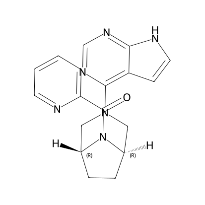 O=C(c1ccccn1)N1[C@@H]2CC[C@@H]1CN(c1ncnc3[nH]ccc13)C2